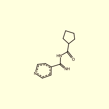 N=C(NC(=O)C1CCCC1)c1ccncc1